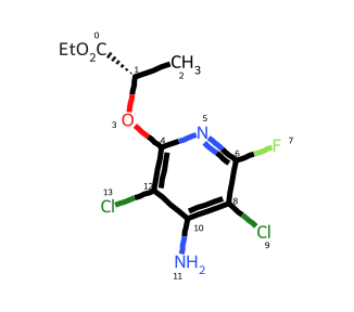 CCOC(=O)[C@H](C)Oc1nc(F)c(Cl)c(N)c1Cl